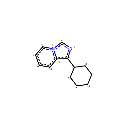 c1ccn2cnc(C3CCCCC3)c2c1